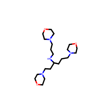 [CH](CN1CCOCC1)C(CCCN1CCOCC1)NCCCN1CCOCC1